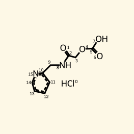 Cl.O=C(COC(=O)O)NCc1ccccn1